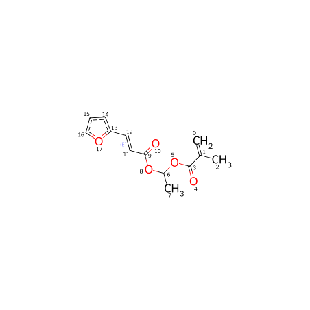 C=C(C)C(=O)OC(C)OC(=O)/C=C/c1ccco1